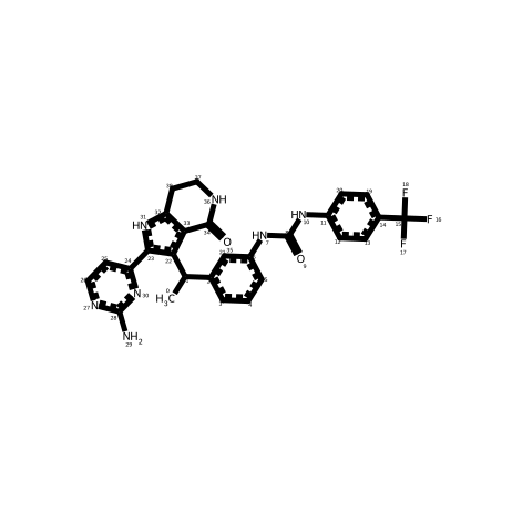 CC(c1cccc(NC(=O)Nc2ccc(C(F)(F)F)cc2)c1)c1c(-c2ccnc(N)n2)[nH]c2c1C(=O)NCC2